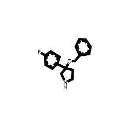 Fc1ccc(C2(OCc3ccccc3)CCNC2)cc1